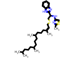 CC(=CCSCC(Nc1csc(C)n1)c1nc2ccccc2[nH]1)CCCC(C)CCCC(C)CCCC(C)C